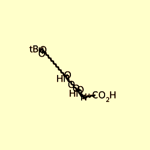 CC(C)(C)OC(=O)CCCCCCCCCCCCCCCCC(=O)NCCCOCCOCC(=O)NCC[N+](C)(C)CCCCCC(=O)O